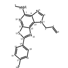 C=CCn1cnc2c(NC)nc3sc(-c4ccc(F)cc4)nc3c21